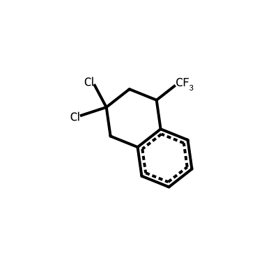 FC(F)(F)C1CC(Cl)(Cl)Cc2ccccc21